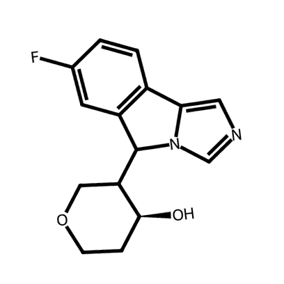 O[C@H]1CCOCC1C1c2cc(F)ccc2-c2cncn21